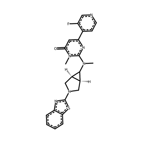 CN(c1nc(-c2ccncc2F)cc(=O)n1C)C1[C@H]2CN(c3nc4ccccc4s3)C[C@@H]12